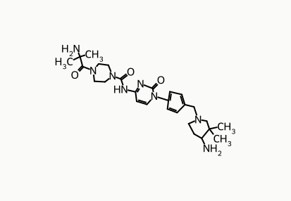 CC(C)(N)C(=O)N1CCN(C(=O)Nc2ccn(-c3ccc(CN4CCC(N)C(C)(C)C4)cc3)c(=O)n2)CC1